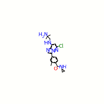 Cc1cc(-c2cnc3c(NCC(C)(C)N)cc(Cl)nn23)ccc1C(=O)NC1CC1